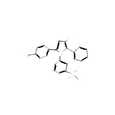 CCOC(=O)c1cc(-c2ccc(Cl)cc2)n(-c2cccc(S(C)(=O)=O)c2)c1-c1ccccc1